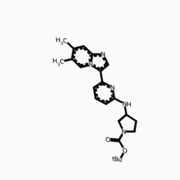 Cc1cc2ncc(-c3cccc(NC4CCN(C(=O)OC(C)(C)C)C4)n3)n2cc1C